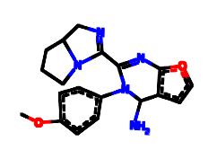 COc1ccc(N2C(C3=NCC4CCCN34)=Nc3occc3C2N)cc1